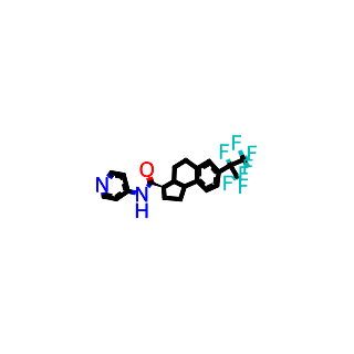 O=C(Nc1ccncc1)[C@@H]1CCC2c3ccc(C(F)(C(F)(F)F)C(F)(F)F)cc3CCC21